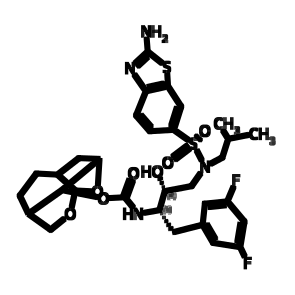 CC(C)CN(C[C@@H](O)[C@H](Cc1cc(F)cc(F)c1)NC(=O)OC1C2CCC3CC1OC3OC2)S(=O)(=O)c1ccc2nc(N)sc2c1